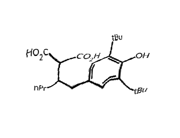 CCCC(Cc1cc(C(C)(C)C)c(O)c(C(C)(C)C)c1)C(C(=O)O)C(=O)O